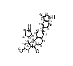 COC1CN(C(=O)N2CCc3cc(-c4cnc5[nH]cc(C)c5c4)cc([C@@H]4CCCN4)c3C2)C(C)(C)C1